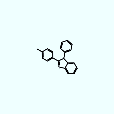 Cc1ccc(C2=Nc3ccccc3C2c2ccccc2)cc1